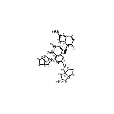 C#Cc1c(F)ccc2cc(O)cc(-c3cc4nc(OC[C@@]56CCCN5C[C@H](F)C6)nc(N5CC6CCC(C5)N6)c4c(=O)n3C)c12